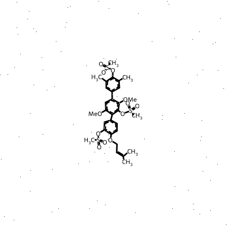 COc1cc(-c2cc(C)c(OS(C)(=O)=O)c(C)c2)c(OC)c(OS(C)(=O)=O)c1-c1ccc(OCC=C(C)C)c(OS(C)(=O)=O)c1